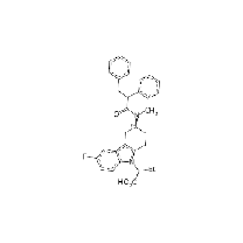 CCC(C(=O)O)n1c2c(c3cc(F)ccc31)C[C@@H](N(C)C(=O)C(Cc1ccccc1)c1ccccc1)CC2